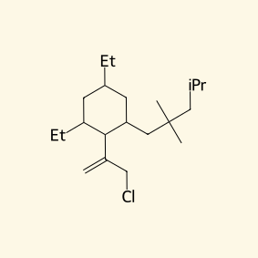 C=C(CCl)C1C(CC)CC(CC)CC1CC(C)(C)CC(C)C